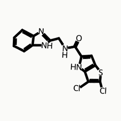 O=C(NCc1nc2ccccc2[nH]1)c1cc2sc(Cl)c(Cl)c2[nH]1